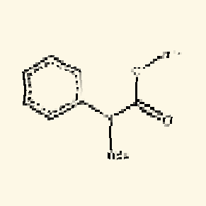 [CH2]CCCN(C(=O)OCCC)c1ccccc1